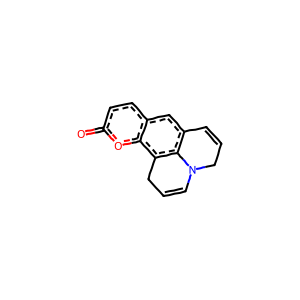 O=c1ccc2cc3c4c(c2o1)CC=CN4CC=C3